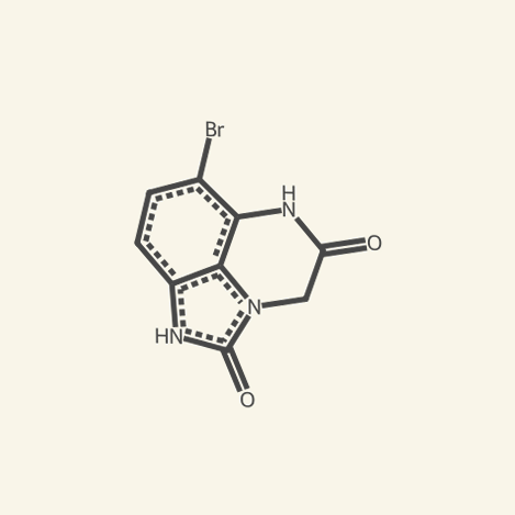 O=C1Cn2c(=O)[nH]c3ccc(Br)c(c32)N1